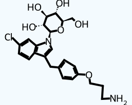 NCCCOc1ccc(Cc2cn([C@@H]3O[C@H](CO)[C@@H](O)[C@H](O)[C@H]3O)c3cc(Cl)ccc23)cc1